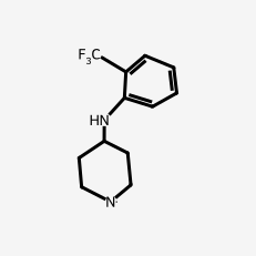 FC(F)(F)c1ccccc1NC1CC[N]CC1